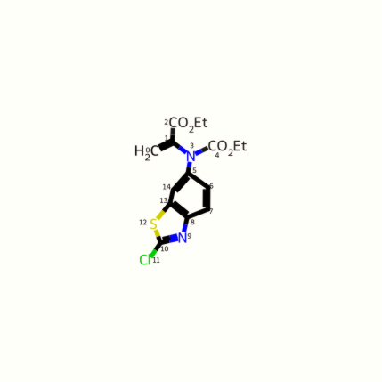 C=C(C(=O)OCC)N(C(=O)OCC)c1ccc2nc(Cl)sc2c1